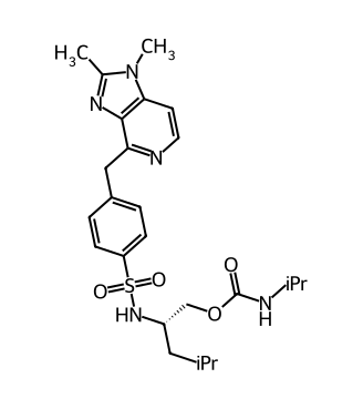 Cc1nc2c(Cc3ccc(S(=O)(=O)N[C@H](COC(=O)NC(C)C)CC(C)C)cc3)nccc2n1C